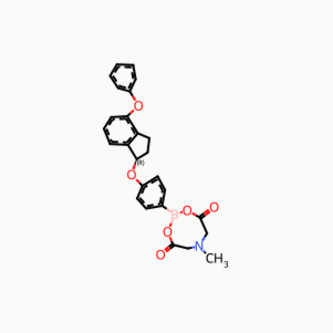 CN1CC(=O)OB(c2ccc(O[C@@H]3CCc4c(Oc5ccccc5)cccc43)cc2)OC(=O)C1